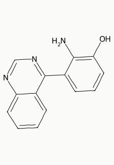 Nc1c(O)cccc1-c1ncnc2ccccc12